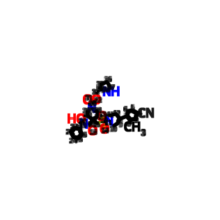 Cc1cc(C#N)ccc1C1=CCN(S(=O)(=O)CC2(C(=O)N(O)c3ccccc3)CCN(C(=O)OC[C@@H]3CCCN3)CC2)CC1